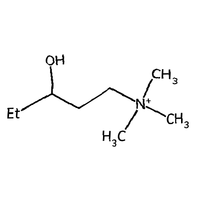 CCC(O)CC[N+](C)(C)C